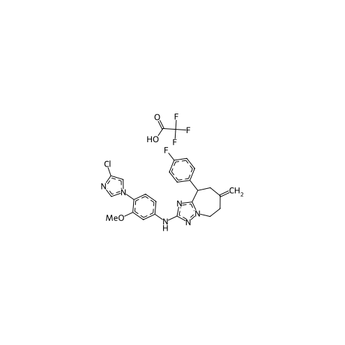 C=C1CCn2nc(Nc3ccc(-n4cnc(Cl)c4)c(OC)c3)nc2C(c2ccc(F)cc2)C1.O=C(O)C(F)(F)F